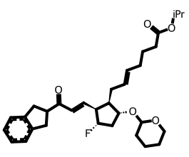 CC(C)OC(=O)CCCC=CC[C@@H]1[C@H](C=CC(=O)C2Cc3ccccc3C2)[C@@H](F)C[C@H]1OC1CCCCO1